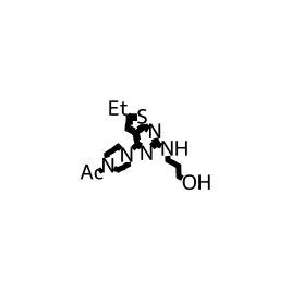 CCc1cc2c(N3CCN(C(C)=O)CC3)nc(NCCCO)nc2s1